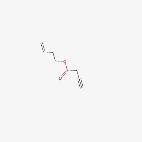 C#CCC(=O)OCCC=C